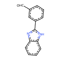 O=Cc1cccc(-c2nc3ccccc3[nH]2)c1